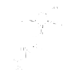 CC(C)C1CC(=O)N(CCC(=O)NCCC(C)(C)C)C1=O